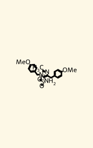 COc1ccc(Cc2cn(Cc3ccc(OC)cc3)c(C)n2)cc1.N[SH](=O)=O